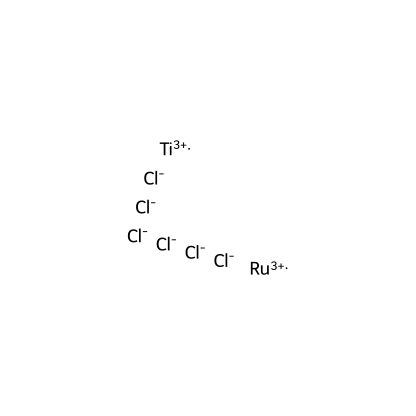 [Cl-].[Cl-].[Cl-].[Cl-].[Cl-].[Cl-].[Ru+3].[Ti+3]